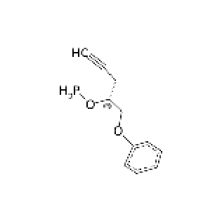 C#CC[C@H](COc1ccccc1)OP